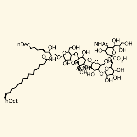 CCCCCCCC/C=C\CCCCCCCCCCCCCC(=O)N[C@@H](CO[C@@H]1OC(CO)[C@@H](O[C@@H]2OC(CO)[C@H](O)[C@H](O[C@@H]3OC(CO)[C@@H](O[C@@H]4OC(CO[C@]5(C(=O)O)CC(O)[C@@H](NC(C)=O)C([C@H](O)[C@H](O)CO)O5)[C@H](O)[C@H](O)C4O)[C@H](O)C3NC(C)=O)C2O)[C@H](O)C1O)[C@H](O)/C=C/CCCCCCCCCCCCC